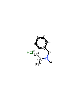 C[CH2][Al]([CH2]C)[N](C)Cc1ccccc1.Cl